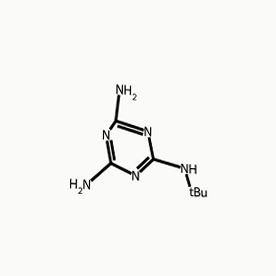 CC(C)(C)Nc1nc(N)nc(N)n1